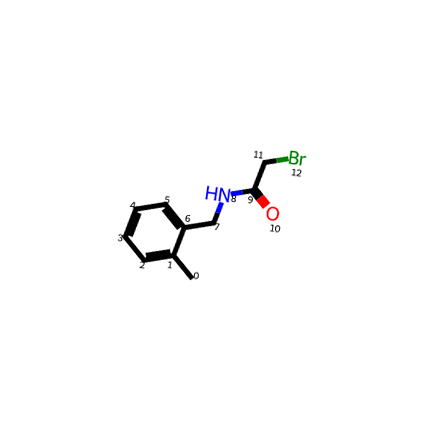 Cc1ccccc1CNC(=O)CBr